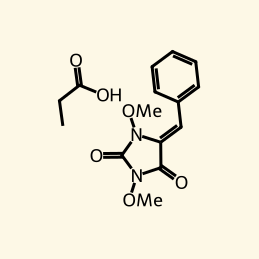 CCC(=O)O.CON1C(=O)C(=Cc2ccccc2)N(OC)C1=O